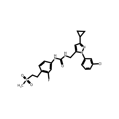 CS(=O)(=O)CCc1ccc(NC(=O)NCc2cc(C3CC3)nn2-c2cccc(Cl)c2)cc1F